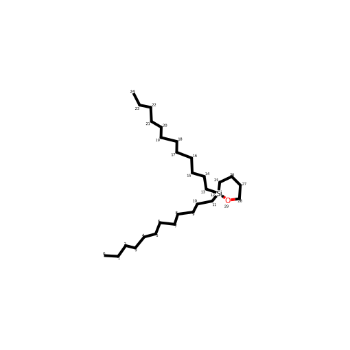 CCCCCCCCCCCC[Si]1(CCCCCCCCCCCC)CCCCO1